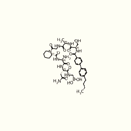 CCCCc1ccc(-c2ccc(C(=O)N[C@H](CO)C(=O)N[C@H](C)C(=O)NCC(=O)N3CCCC[C@H]3C(=O)N[C@@H](N)C(=O)N[C@@H](CC(N)=O)C(=O)NCB(O)O)cc2)cc1